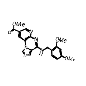 COC(=O)c1cnc2nc(NCc3ccc(OC)cc3OC)c3cncn3c2c1